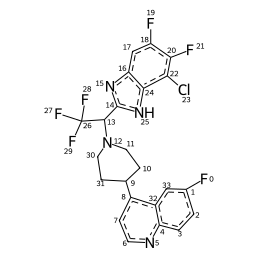 Fc1ccc2nccc(C3CCN(C(c4nc5cc(F)c(F)c(Cl)c5[nH]4)C(F)(F)F)CC3)c2c1